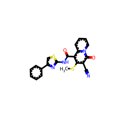 CSc1c(C#N)c(=O)n2ccccc2c1C(=O)Nc1nc(-c2ccccc2)cs1